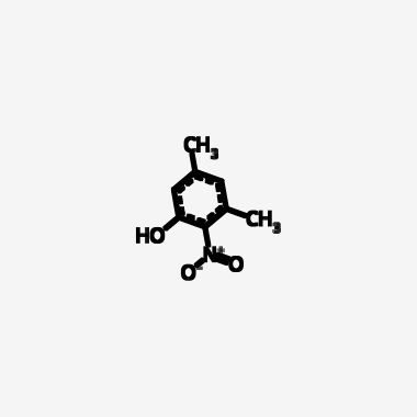 Cc1cc(C)c([N+](=O)[O-])c(O)c1